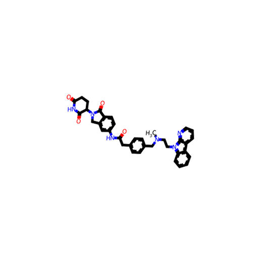 CN(CCn1c2ccccc2c2cccnc21)Cc1ccc(CC(=O)Nc2ccc3c(c2)CN(C2CCC(=O)NC2=O)C3=O)cc1